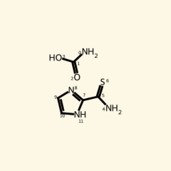 NC(=O)O.NC(=S)c1ncc[nH]1